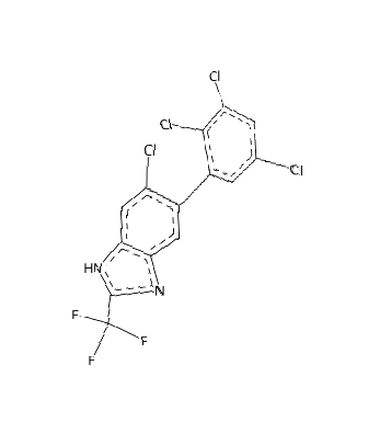 FC(F)(F)c1nc2cc(-c3cc(Cl)cc(Cl)c3Cl)c(Cl)cc2[nH]1